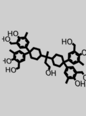 Cc1cc(C2(c3cc(C)c(O)c(CO)c3)CCC(C(C)(CCO)C3CCC(c4cc(C)c(O)c(CO)c4)(c4cc(C)c(O)c(CO)c4)CC3)CC2)cc(CO)c1O